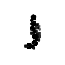 Cl.Cn1c(-c2cn(CC3CCCC3)nc2C(F)(F)F)cnc1C(=O)Nc1ccc(C(=O)N2CCN(C(=O)C3CCNCC3)CC2)c(Cl)c1